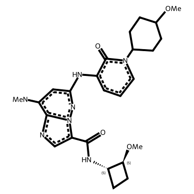 CNc1cc(Nc2cccn(C3CCC(OC)CC3)c2=O)nn2c(C(=O)N[C@H]3CC[C@@H]3OC)cnc12